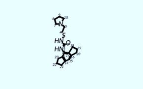 O=C(NSCCN1CCCC1)Nc1c2c(cc3c1CCC3)CCC2